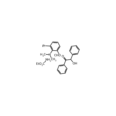 CC(C)c1cccc(C=O)c1N(C)C.CCOC(N)=O.O=C(c1ccccc1)C(O)c1ccccc1